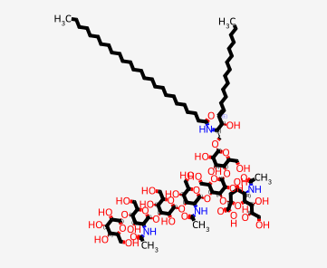 CCCCCCCCCCCCC/C=C/[C@@H](O)[C@H](CO[C@@H]1OC(CO)[C@@H](O[C@@H]2OC(CO)[C@H](O[C@@H]3OC(CO)[C@H](O)[C@H](O[C@@H]4OC(CO)[C@H](O)[C@H](O[C@@H]5OC(CO)[C@@H](O[C@@H]6OC(CO)[C@H](O)[C@H](O)C6O)[C@H](O)C5NC(C)=O)C4O)C3NC(C)=O)[C@H](O[C@]3(C(=O)O)CC(O)[C@@H](NC(C)=O)C([C@H](O)[C@H](O)CO)O3)C2O)[C@H](O)C1O)NC(=O)CCCCCCCCCCCCCCCCCCCCCCCCC